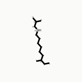 CCC(C)CCCCCCNCC(C)C